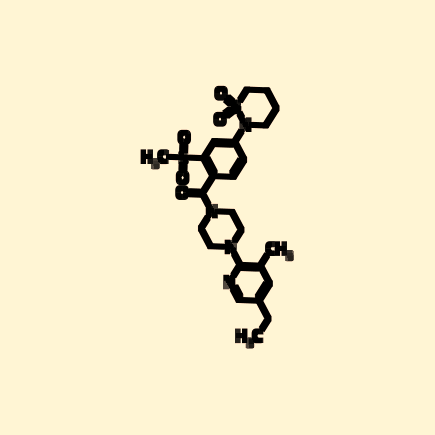 CCc1cnc(N2CCN(C(=O)c3ccc(N4CCCCS4(=O)=O)cc3S(C)(=O)=O)CC2)c(C)c1